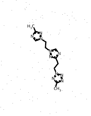 Cc1ncn(CCn2cnc(CCn3nnc(C)n3)n2)n1